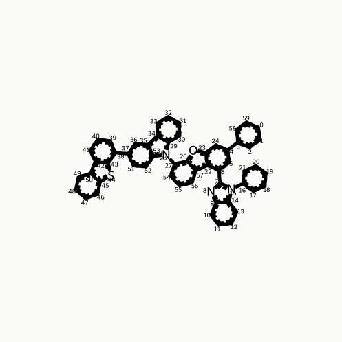 c1ccc(-c2cc(-c3nc4ccccc4n3-c3ccccc3)c3c(c2)oc2c(-n4c5ccccc5c5cc(-c6cccc7c6sc6ccccc67)ccc54)cccc23)cc1